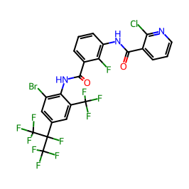 O=C(Nc1cccc(C(=O)Nc2c(Br)cc(C(F)(C(F)(F)F)C(F)(F)F)cc2C(F)(F)F)c1F)c1cccnc1Cl